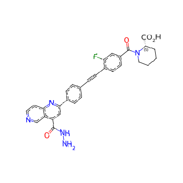 NNC(=O)c1cc(-c2ccc(C#Cc3ccc(C(=O)N4CCCC[C@H]4C(=O)O)cc3F)cc2)nc2ccncc12